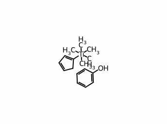 Oc1ccccc1.[CH3][Ti]([CH3])([CH3])([CH3])([CH3])[C]1=CC=CC1